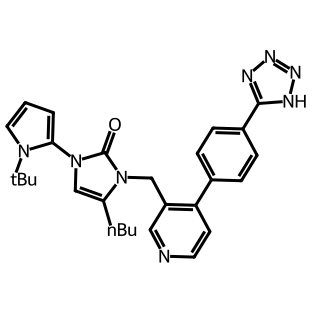 CCCCc1cn(-c2cccn2C(C)(C)C)c(=O)n1Cc1cnccc1-c1ccc(-c2nnn[nH]2)cc1